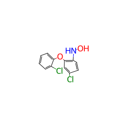 ONc1ccc(Cl)cc1Oc1ccccc1Cl